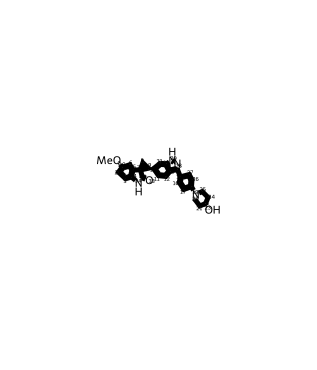 COc1ccc2c(c1)C1(C[C@H]1c1ccc3c(-c4ccc(N5CCC(O)CC5)cc4)n[nH]c3c1)C(=O)N2